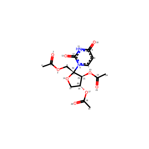 CC(=O)OC[C@]1(n2ccc(=O)[nH]c2=O)OC[C@@H](OC(C)=O)[C@@H]1OC(C)=O